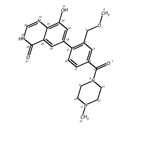 COCc1cc(C(=O)N2CCN(C)CC2)ccc1-c1cc(O)c2nc[nH]c(=O)c2c1